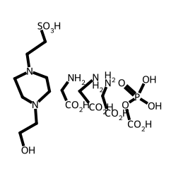 NCC(=O)O.NCC(=O)O.NCC(=O)O.O=C(O)OP(=O)(O)O.O=S(=O)(O)CCN1CCN(CCO)CC1